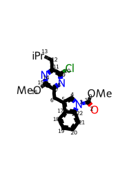 COC(=O)n1cc(Cc2nc(Cl)c(CC(C)C)nc2OC)c2ccccc21